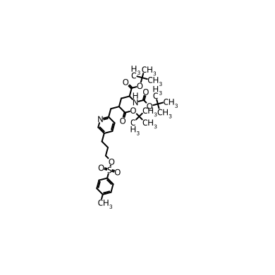 Cc1ccc(S(=O)(=O)OCCCc2ccc(CC(CC(NC(=O)OC(C)(C)C)C(=O)OC(C)(C)C)C(=O)OC(C)(C)C)nc2)cc1